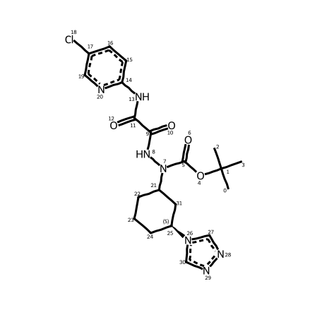 CC(C)(C)OC(=O)N(NC(=O)C(=O)Nc1ccc(Cl)cn1)C1CCC[C@H](n2cnnc2)C1